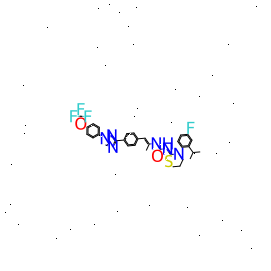 C/C(=C\c1ccc(-c2ncn(-c3ccc(OC(F)(F)F)cc3)n2)cc1)NC(=O)/N=C1\SCCCN1c1ccc(F)cc1C(C)C